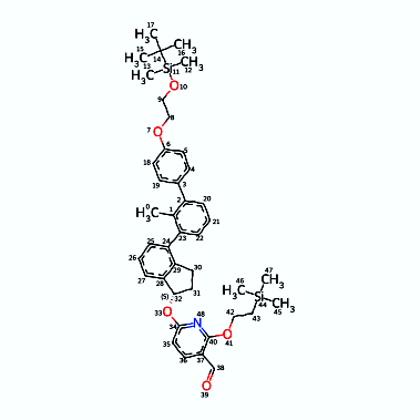 Cc1c(-c2ccc(OCCO[Si](C)(C)C(C)(C)C)cc2)cccc1-c1cccc2c1CC[C@@H]2Oc1ccc(C=O)c(OCC[Si](C)(C)C)n1